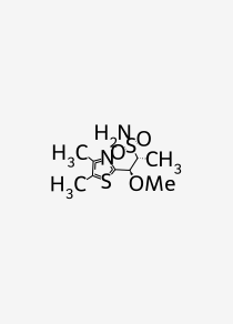 CO[C@@H](c1nc(C)c(C)s1)[C@@H](C)S(N)(=O)=O